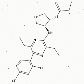 CCC(=O)O[C@H]1COC[C@@H]1Nc1nc(CC)c(-c2ccc(Cl)cc2Cl)nc1CC